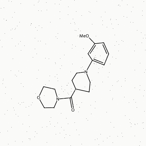 COc1cccc(N2CCC(C(=O)N3CCOCC3)CC2)c1